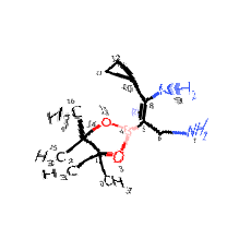 CC1(C)OB(/C(CN)=C(/N)C2CC2)OC1(C)C